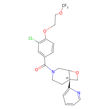 O=C(c1ccc(OCCOC(F)(F)F)c(Cl)c1)N1CC[C@@]2(c3ccccn3)COC2C1